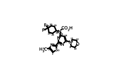 Cc1csc(-c2nc(N3CCOCC3)cc(N(C(=O)O)C3CCC(F)(F)CC3)n2)n1